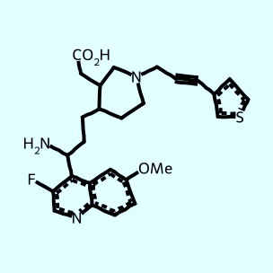 COc1ccc2ncc(F)c(C(N)CCC3CCN(CC#Cc4ccsc4)CC3CC(=O)O)c2c1